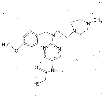 COc1ccc(CN(CCN2CCN(C)CC2)c2ncc(NC(=O)CS)cn2)cc1